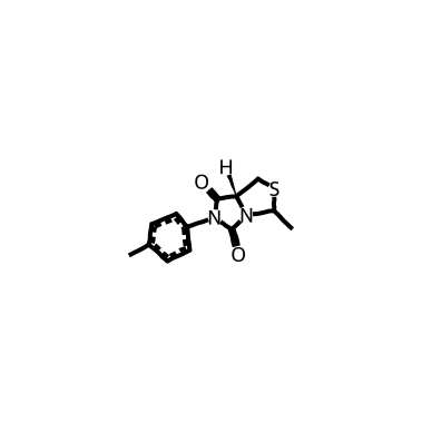 Cc1ccc(N2C(=O)[C@@H]3CSC(C)N3C2=O)cc1